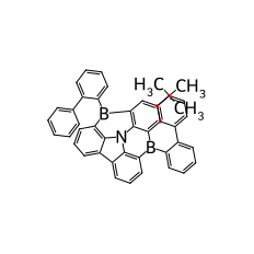 CC(C)(C)c1cc2c3c(c1)B(c1ccccc1-c1ccccc1)c1cccc4c5cccc(c5n-3c14)B2c1ccccc1-c1ccccc1